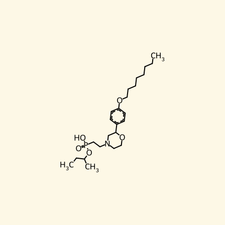 CCCCCCCCOc1ccc(C2CN(CCP(=O)(O)OC(C)CC)CCO2)cc1